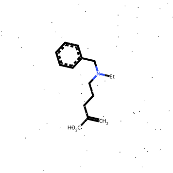 C=C(CCCN(CC)Cc1ccccc1)C(=O)O